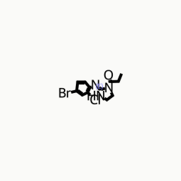 CCC(=O)N1CCN/C1=N\c1ccc(Br)cc1Cl